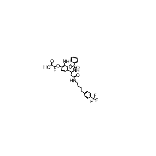 Nc1cc(C(CC(=O)NCCCCc2ccc(C(F)(F)F)cc2)NS(=O)(=O)c2ccccc2)ccc1OC(F)C(=O)O